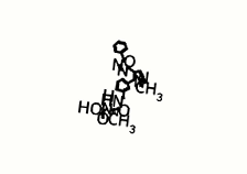 C[C@H](NC(=O)O)C(=O)NCc1cccc(-c2c(-c3nnc(-c4ccccc4)o3)cnn2C)c1